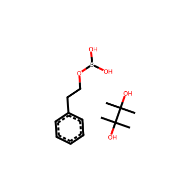 CC(C)(O)C(C)(C)O.OB(O)OCCc1ccccc1